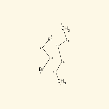 BrCCBr.CCCCCC